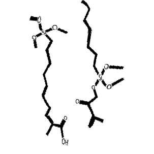 C=C(C)C(=O)CO[Si](CCCCCCC)(OC)OC.CO[Si](CCCCCCCC=C(C)C(=O)O)(OC)OC